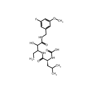 CCC(NC(=O)[C@H](CC(C)C)NC(=O)O)C(O)C(=O)NCc1cc(F)cc(OC)c1